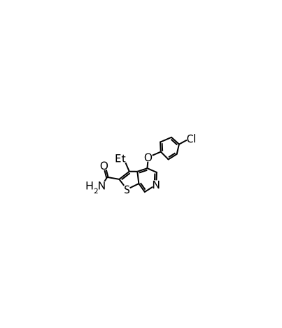 CCc1c(C(N)=O)sc2cncc(Oc3ccc(Cl)cc3)c12